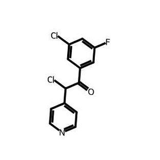 O=C(c1cc(F)cc(Cl)c1)C(Cl)c1ccncc1